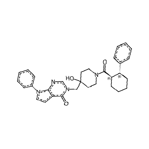 O=C([C@@H]1CCCC[C@H]1c1ccccc1)N1CCC(O)(Cn2cnc3c(ccn3-c3ccccc3)c2=O)CC1